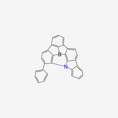 c1ccc(-c2ccc3c4c2-n2c5ccccc5c5ccc6c(c52)B4c2c-3cccc2-6)cc1